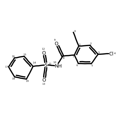 Cc1cc(Cl)ccc1C(=O)NS(=O)(=O)c1ccccc1